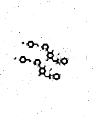 COCCn1c(Cc2cc(F)c(-c3cccc(OCc4ccc(OC(F)(F)F)cc4)n3)cc2F)nc2ccc(C(=O)O)cc21.COCCn1c(Cc2cc(F)c(-c3cccc(OCc4ccc(OC(F)(F)F)cc4)n3)cc2F)nc2ccc(C(=O)O)cc21